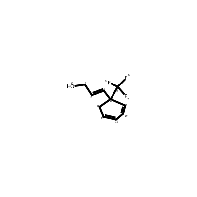 OCC=CC1(C(F)(F)F)C=CC=CC1